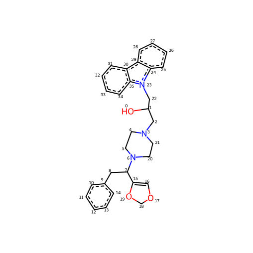 OC(CN1CCN(C(Cc2ccccc2)C2=COCO2)CC1)Cn1c2ccccc2c2ccccc21